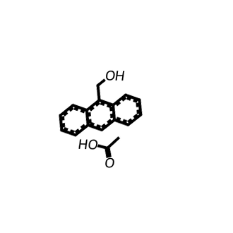 CC(=O)O.OCc1c2ccccc2cc2ccccc12